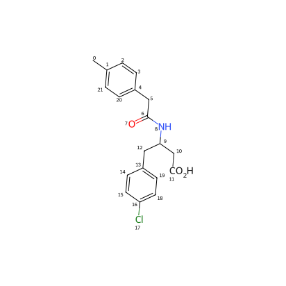 Cc1ccc(CC(=O)NC(CC(=O)O)Cc2ccc(Cl)cc2)cc1